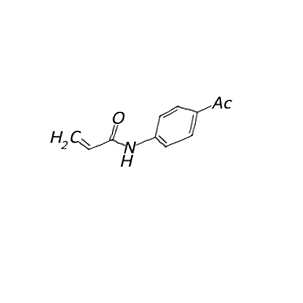 C=CC(=O)Nc1ccc(C(C)=O)cc1